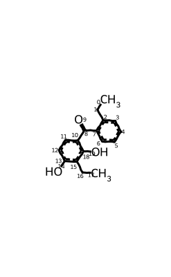 CCc1ccccc1C(=O)c1ccc(O)c(CC)c1O